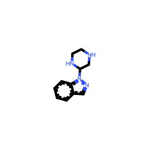 c1ccc2c(c1)cnn2C1CNCCN1